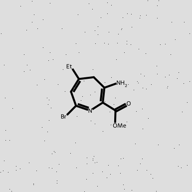 CCC1=CC(Br)=NC(C(=O)OC)=C(N)C1